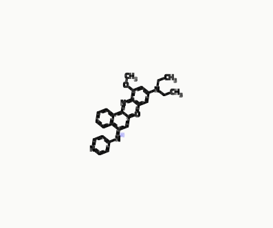 CCN(CC)c1cc(OC)c2nc3c4ccccc4/c(=N\c4ccncc4)cc-3oc2c1